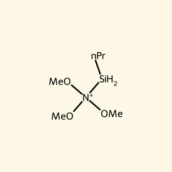 CCC[SiH2][N+](OC)(OC)OC